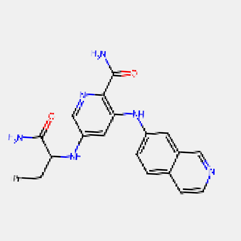 CC(C)CC(Nc1cnc(C(N)=O)c(Nc2ccc3ccncc3c2)c1)C(N)=O